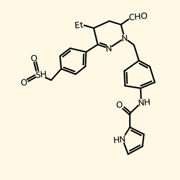 CCC1CC(C=O)N(Cc2ccc(NC(=O)c3ccc[nH]3)cc2)N=C1c1ccc(C[SH](=O)=O)cc1